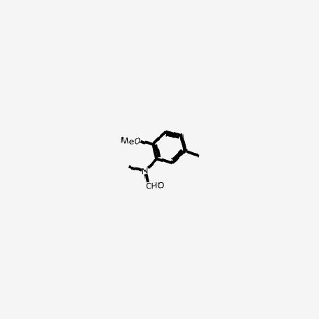 COc1ccc(C)cc1N(C)C=O